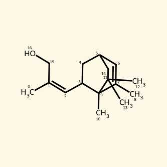 CC(=CC1CC2C=C(C)C1(C)C(C)(C)C2)CO